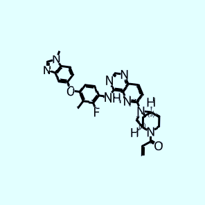 C=CC(=O)N1CC[C@H]2C[C@@H]1CN2c1ccc2ncnc(Nc3ccc(Oc4ccc5c(c4)ncn5C)c(C)c3F)c2n1